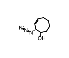 [N-]=[N+]=N[C@@H]1/C=C\CCCC[C@H]1O